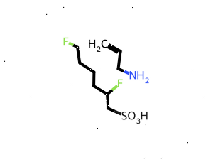 C=CCN.O=S(=O)(O)CC(F)CCCCF